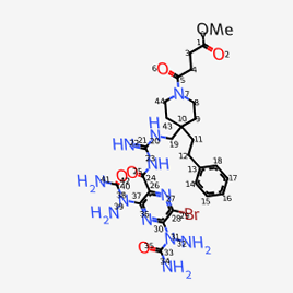 COC(=O)CCC(=O)N1CCC(CCc2ccccc2)(CNC(=N)NC(=O)c2nc(Br)c(N(N)C(N)=O)nc2N(N)C(N)=O)CC1